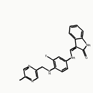 Cc1cnc(CNc2ccc(NC=C3C(=O)Nc4ccccc43)cc2F)cn1